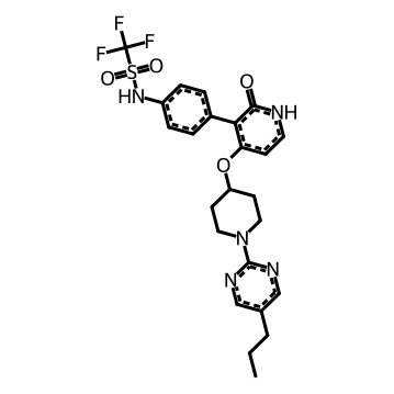 CCCc1cnc(N2CCC(Oc3cc[nH]c(=O)c3-c3ccc(NS(=O)(=O)C(F)(F)F)cc3)CC2)nc1